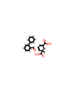 CC1(C(=O)O)C=CC=C(C(=O)O)C1.O=Cc1ccccc1-c1ccccc1